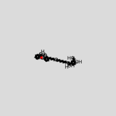 CC(C)(NS(=O)(=O)c1cccc(CCCCOCCCCCCNCC(O)c2ccc(O)c(CO)c2)c1)c1ccccc1